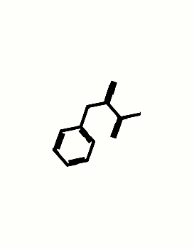 C=C(C)C(=C)Cc1ccccc1